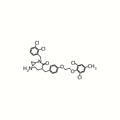 Cc1cc(Cl)c(OCCOc2ccc(CC(CCN)C(=O)N(Cc3cccc(Cl)c3Cl)C3CC3)cc2)c(Cl)c1